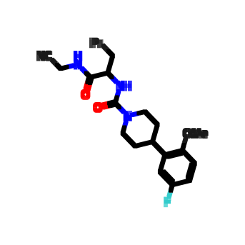 COc1ccc(F)cc1C1CCN(C(=O)NC(CC(C)C)C(=O)NCC#N)CC1